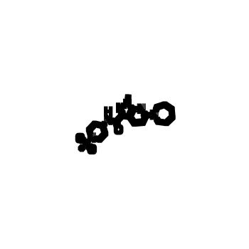 Cn1nc(C(=O)NC2CCN(S(C)(=O)=O)CC2)c2ccc(N3CCCCCC3)nc21